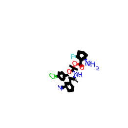 C[C@H](NC(=O)C(C)(C)OC(=O)c1c(N)cccc1F)[C@@H](Cc1ccc(Cl)cc1)c1cccc(C#N)c1